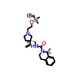 C=C[C@@]1(CNC(=O)N2CCc3ccccc3[C@@H]2C)CCN(CCO[Si](C)(C)C(C)(C)C)C1